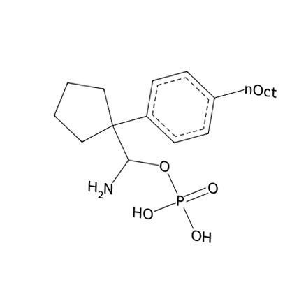 CCCCCCCCc1ccc(C2(C(N)OP(=O)(O)O)CCCC2)cc1